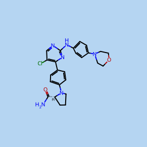 NC(=O)[C@H]1CCCN1c1ccc(-c2nc(Nc3ccc(N4CCOCC4)cc3)ncc2Cl)cc1